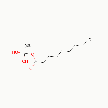 CCCCCCCCCCCCCCCCCC(=O)OC(O)(O)CCCC